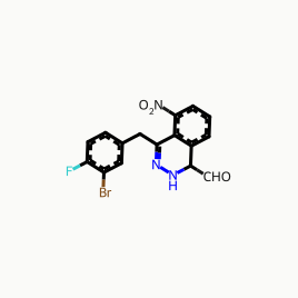 O=CC1NN=C(Cc2ccc(F)c(Br)c2)c2c1cccc2[N+](=O)[O-]